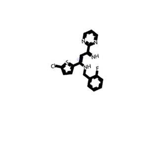 N=C(/C=C(\NCc1ccccc1F)c1ccc(Cl)s1)c1ncccn1